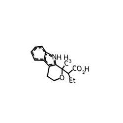 CCC(C(=O)O)C1(C)OCCc2c1[nH]c1ccccc21